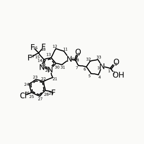 O=C(O)N1CCC(CC(=O)N2CCc3c(C(F)(F)F)nn(Cc4ccc(Cl)cc4F)c3C2)CC1